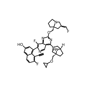 C#Cc1c(F)ccc2cc(O)cc(-c3ncc4c(N5C[C@@H]6CC[C@](COC7CC7)(C5)N6)nc(OC[C@@]56CCCN5C/C(=C/F)C6)nc4c3F)c12